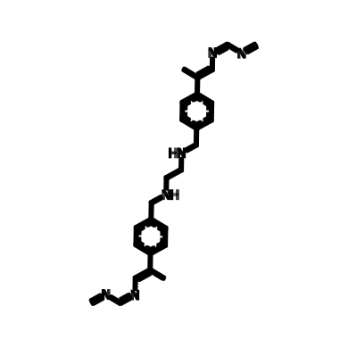 C=N/C=N\C=C(/C)c1ccc(CNCCNCc2ccc(/C(C)=C/N=C\N=C)cc2)cc1